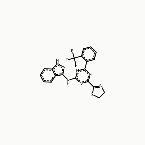 FC(F)(F)c1ccccc1-c1nc(Nc2n[nH]c3ccccc23)nc(C2=NCCS2)n1